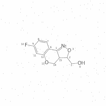 OCC1ON=C2c3ccc(F)cc3OCC21